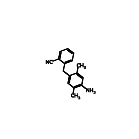 Cc1cc(Cc2ccccc2C#N)c(C)cc1N